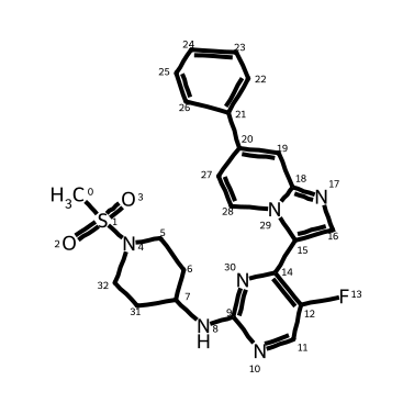 CS(=O)(=O)N1CCC(Nc2ncc(F)c(-c3cnc4cc(-c5ccccc5)ccn34)n2)CC1